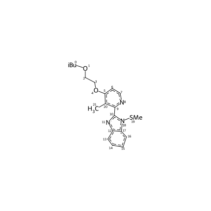 CCC(C)OCCOc1ccnc(-c2nc3ccccc3n2SC)c1C